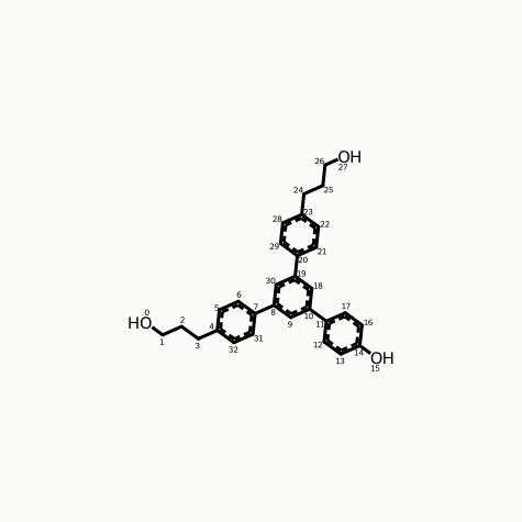 OCCCc1ccc(-c2cc(-c3ccc(O)cc3)cc(-c3ccc(CCCO)cc3)c2)cc1